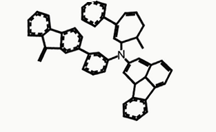 C=C1c2ccccc2-c2ccc(-c3cccc(N(C4=CC5c6ccccc6C6=CC=CC(=C4)C65)C4C=C(c5ccccc5)C=CCC4C)c3)cc21